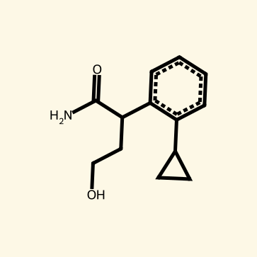 NC(=O)C(CCO)c1ccccc1C1CC1